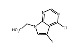 O=C(O)Cn1cc(I)c2c(Cl)ncnc21